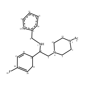 CC(=O)N1CCN(CC(NCc2ccccn2)C2C=CC(F)=CC2)CC1